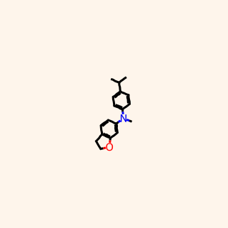 CC(C)c1ccc(N(C)c2ccc3c(c2)OCC3)cc1